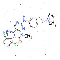 CN(C)[C@@H]1Cc2ccc(Nc3ncc4c(=N)n(-c5c(Cl)cccc5Cl)c(=O)n(C)c4n3)cc2C1